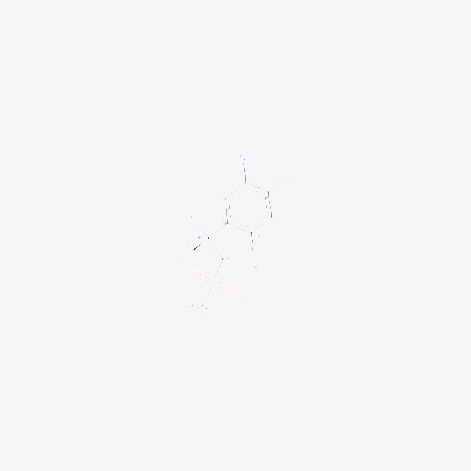 CNS(=O)(=O)C[C@](C)(N)c1cc(N)c(I)cc1F